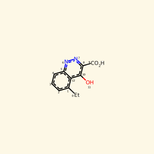 CCc1cccc2nnc(C(=O)O)c(O)c12